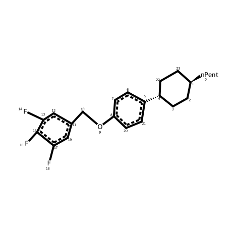 CCCCC[C@H]1CC[C@H](c2ccc(OCc3cc(F)c(F)c(F)c3)cc2)CC1